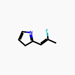 C/C(F)=C/C1=NC=CC1